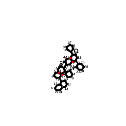 c1cc(-c2ccccc2-c2cccc3ccccc23)cc(N(c2ccccc2-c2ccc3c(c2)oc2ccccc23)c2cccc3sc4ccccc4c23)c1